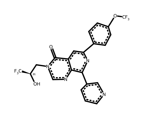 O=c1c2cc(-c3ccc(OC(F)(F)F)cc3)nc(-c3cccnc3)c2ncn1C[C@@H](O)C(F)(F)F